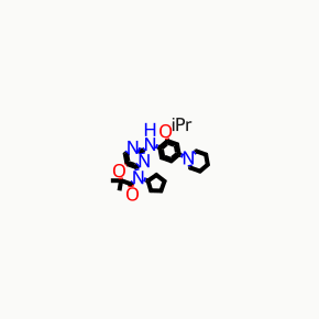 CC(C)Oc1cc(N2CCCCC2)ccc1Nc1ncc2c(n1)N(C1CCCC1)C(=O)C(C)(C)O2